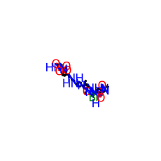 CCOc1cc(N2CCC(NCCNCCc3cccc4c3oc(=O)n4C3CCC(=O)NC3=O)CC2)c(CC)cc1Nc1ncc(Br)c(Nc2ccc3c(=O)n(CC)ncc3c2P(C)(C)=O)n1